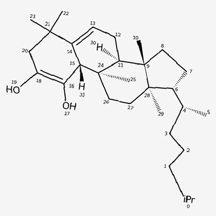 CC(C)CCC[C@@H](C)[C@H]1CC[C@@]2(C)[C@@H]3CC=C4[C@@H](C(O)=C(O)CC4(C)C)[C@]3(C)CC[C@]12C